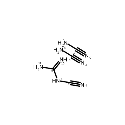 N#CN.N#CN.N#CNC(=N)N